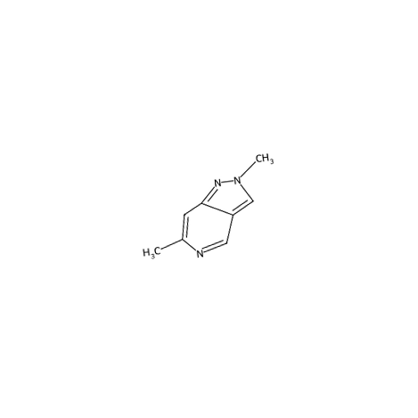 Cc1cc2nn(C)cc2cn1